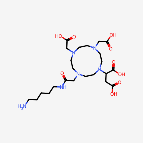 NCCCCCNC(=O)CN1CCN(CC(=O)O)CCN(CC(=O)O)CCN(C(CC(=O)O)C(=O)O)CC1